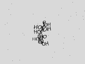 O=C[C@H](O)[C@@H](O)[C@H](O)[C@H](O)COC(=O)C(CC(=O)O)S(=O)(=O)O